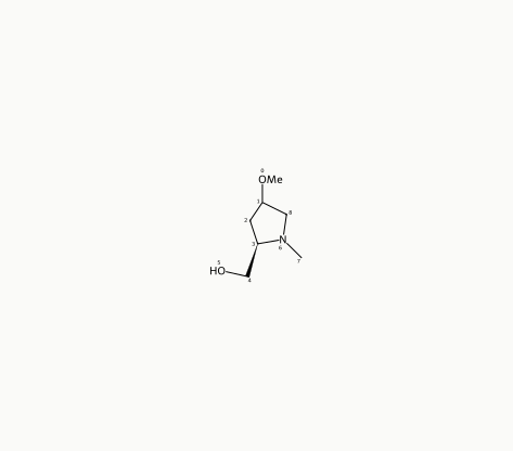 COC1C[C@H](CO)N(C)C1